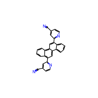 N#Cc1ccnc(-c2cc3c4ccccc4c(-c4cc(C#N)ccn4)cc3c3ccccc23)c1